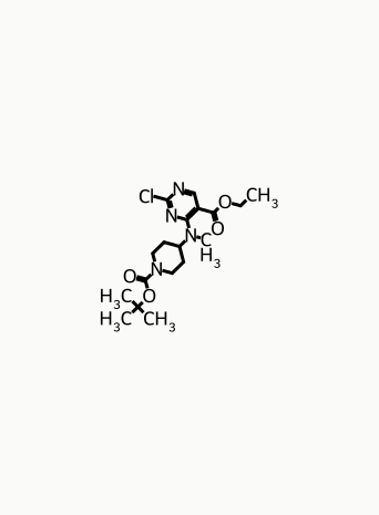 CCOC(=O)c1cnc(Cl)nc1N(C)C1CCN(C(=O)OC(C)(C)C)CC1